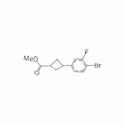 COC(=O)C1CC(c2ccc(Br)c(F)c2)C1